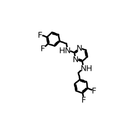 Fc1ccc(CNc2ccnc(NCc3ccc(F)c(F)c3)n2)cc1F